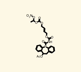 CC(=O)OC1Cc2ccccc2N(C(=O)NC(=O)OCC=CCOC(=O)OC(C)O[N+](=O)[O-])c2ccccc21